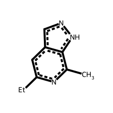 CCc1cc2cn[nH]c2c(C)n1